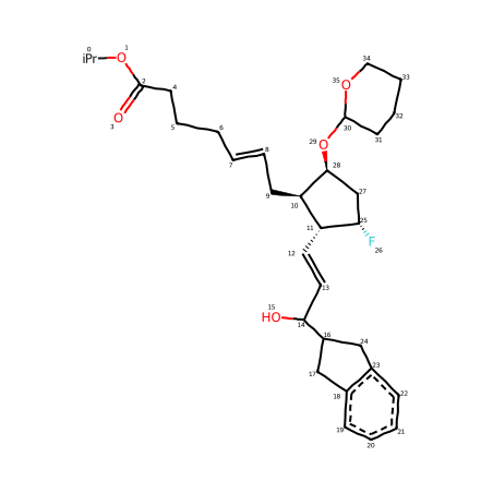 CC(C)OC(=O)CCCC=CC[C@@H]1[C@@H](C=CC(O)C2Cc3ccccc3C2)[C@@H](F)C[C@@H]1OC1CCCCO1